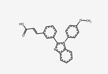 COc1ccc(-n2c(-c3cccc(C=CC(=O)O)c3)nc3ccccc32)cc1